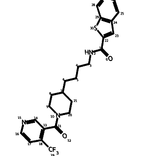 O=C(NCCCCC1CCN(C(=O)c2cnccc2C(F)(F)F)CC1)c1cc2ccncc2s1